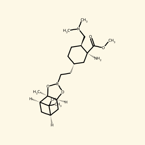 COC(=O)[C@@]1(N)C[C@H](CCB2O[C@H]3C[C@H]4C[C@H](C4(C)C)[C@@]3(C)O2)CC[C@H]1CN(C)C